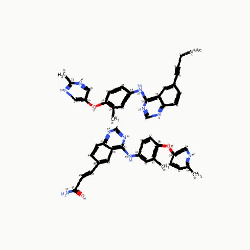 CC(=O)NCC#Cc1ccc2ncnc(Nc3ccc(Oc4cnc(C)nc4)c(C)c3)c2c1.Cc1ccc(Oc2ccc(Nc3ncnc4ccc(C=CC(N)=O)cc34)cc2C)cn1